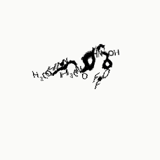 COCc1cc(CN(C)C(=O)c2ccc(C[C@@H]3CC[C@H]([C@H](O)c4ccc(OC(F)F)cc4)N3)cc2)n[nH]1